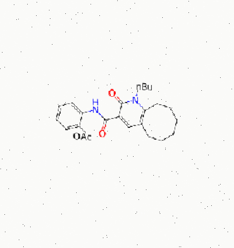 CCCCn1c2c(cc(C(=O)Nc3ccccc3OC(C)=O)c1=O)CCCCCC2